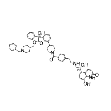 O=C(c1ccc(CCNC[C@H](O)c2ccc(O)c3[nH]c(=O)ccc23)cc1)N1CCC(c2cccc([C@](O)(C(=O)OCC3CCN(Cc4ccccc4)CC3)c3ccccc3)c2)CC1